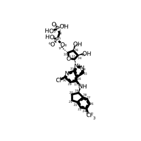 O=P(O)(O)CP(=O)(O)OC[C@H]1O[C@@H](n2ncc3c(N[C@@H]4CCc5cc(C(F)(F)F)ccc54)cc(Cl)nc32)[C@H](O)[C@@H]1O